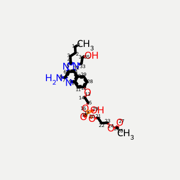 CCCCc1nc2c(N)nc3cc(OCCOP(=O)(O)OCCCOC(C)=O)ccc3c2n1CCO